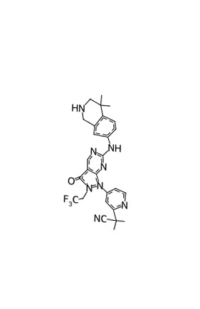 CC(C)(C#N)c1cc(-n2c3nc(Nc4ccc5c(c4)CNCC5(C)C)ncc3c(=O)n2CC(F)(F)F)ccn1